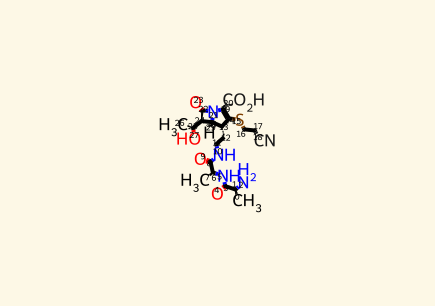 C[C@H](N)C(=O)N[C@@H](C)C(=O)NCC[C@H]1C(SCCC#N)=C(C(=O)O)N2C(=O)[C@H]([C@@H](C)O)[C@@H]12